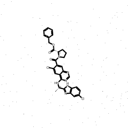 C[C@H](Nc1ncnc2cc(C(=O)N3CCC[C@H]3C(=O)OCc3ccccc3)c(Cl)cc12)c1nc2cc(Cl)ccc2[nH]1